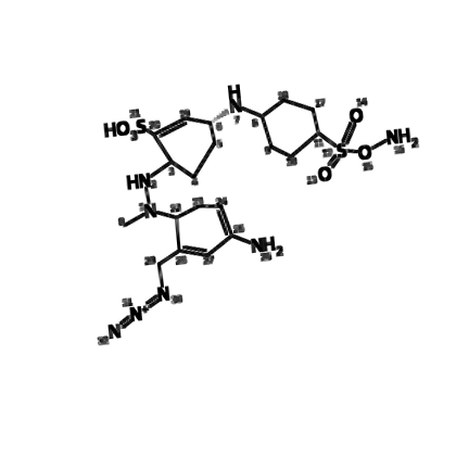 CN(NC1CC[C@@H](NC2CCC(S(=O)(=O)ON)CC2)C=C1S(=O)(=O)O)C1CC=C(N)C=C1CN=[N+]=[N-]